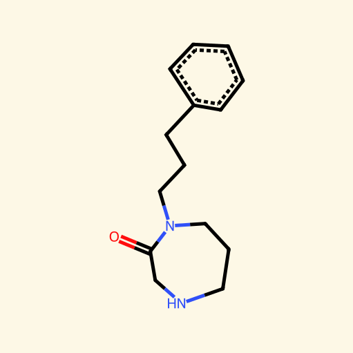 O=C1CNCCCN1CCCc1ccccc1